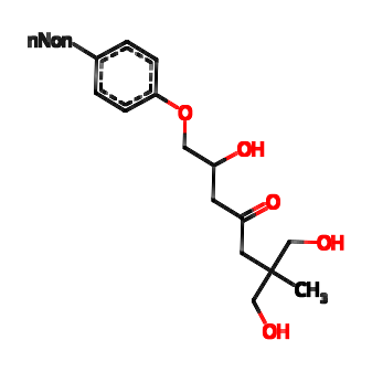 CCCCCCCCCc1ccc(OCC(O)CC(=O)CC(C)(CO)CO)cc1